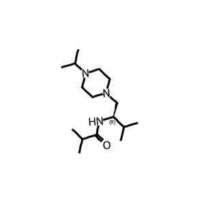 CC(C)C(=O)N[C@@H](CN1CCN(C(C)C)CC1)C(C)C